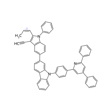 C#Cc1c(/C=C\C)n(-c2ccccc2)c2ccc(-c3ccc4c5ccccc5n(-c5ccc(-c6cc(-c7ccccc7)cc(-c7ccccc7)n6)cc5)c4c3)cc12